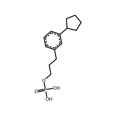 O=P(O)(O)OCCCc1cccc(C2CCCC2)c1